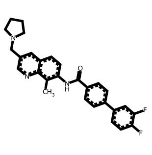 Cc1c(NC(=O)c2ccc(-c3ccc(F)c(F)c3)cc2)ccc2cc(CN3CCCC3)cnc12